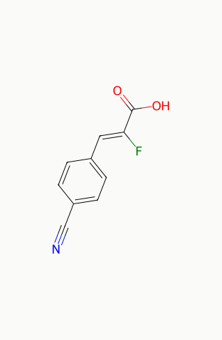 N#Cc1ccc(/C=C(\F)C(=O)O)cc1